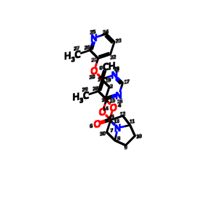 C=CCCOC(=O)N1C2CCC1CC(Oc1ncnc(Oc3cccnc3C)c1C)C2